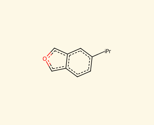 CC(C)c1ccc2cocc2c1